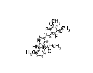 C=CC(=O)Nc1cccc(C)c1Nc1ccc(CCc2c(F)c(OC)cc(OC)c2F)cn1